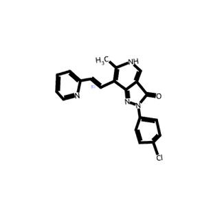 Cc1[nH]cc2c(=O)n(-c3ccc(Cl)cc3)nc-2c1/C=C/c1ccccn1